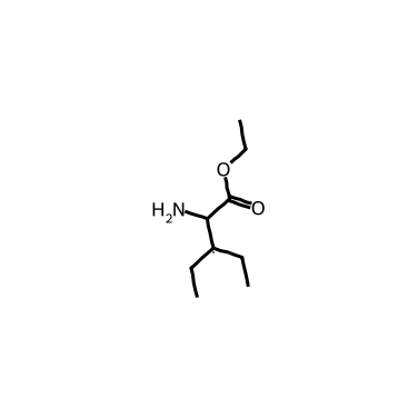 CCOC(=O)C(N)[C](CC)CC